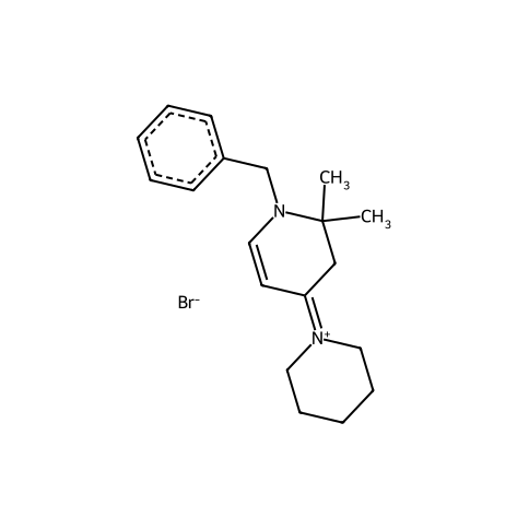 CC1(C)CC(=[N+]2CCCCC2)C=CN1Cc1ccccc1.[Br-]